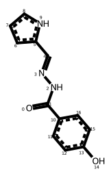 O=C(NN=Cc1ccc[nH]1)c1ccc(O)cc1